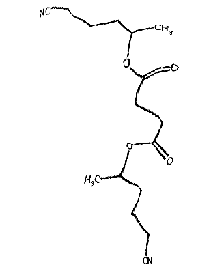 CC(CCCC#N)OC(=O)CCC(=O)OC(C)CCCC#N